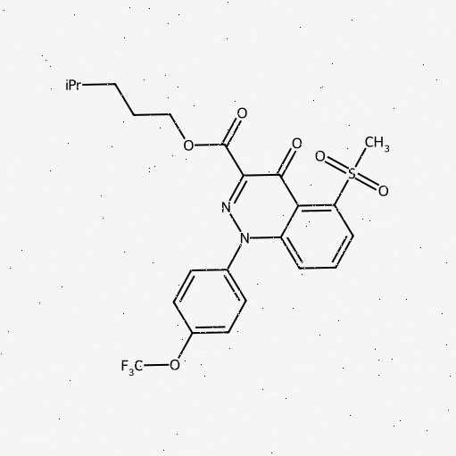 CC(C)CCCOC(=O)c1nn(-c2ccc(OC(F)(F)F)cc2)c2cccc(S(C)(=O)=O)c2c1=O